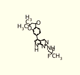 CC(F)(F)CNc1ncc2c(-c3ccc4c(c3)OC(C)(C)CC4=O)c[nH]c2n1